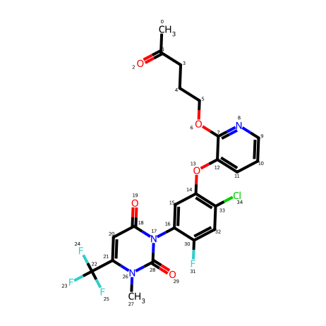 CC(=O)CCCOc1ncccc1Oc1cc(-n2c(=O)cc(C(F)(F)F)n(C)c2=O)c(F)cc1Cl